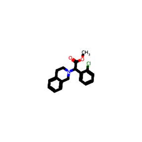 COC(=O)C(c1ccccc1Cl)N1CCc2ccccc2C1